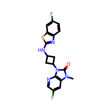 Cn1c(=O)n(C2CC(Nc3nc4ccc(F)cc4s3)C2)c2ncc(F)cc21